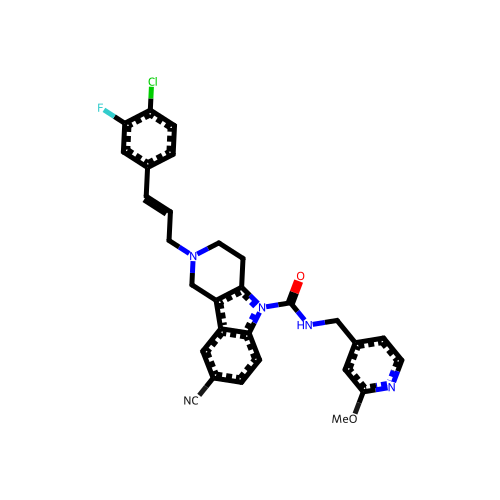 COc1cc(CNC(=O)n2c3c(c4cc(C#N)ccc42)CN(CC=Cc2ccc(Cl)c(F)c2)CC3)ccn1